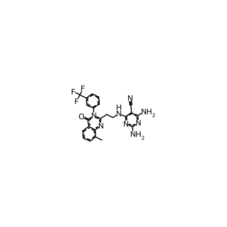 Cc1cccc2c(=O)n(-c3cccc(C(F)(F)F)c3)c(CCNc3nc(N)nc(N)c3C#N)nc12